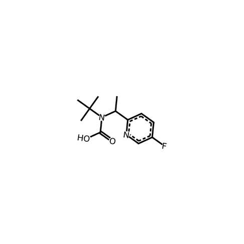 CC(c1ccc(F)cn1)N(C(=O)O)C(C)(C)C